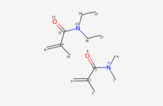 C=C(C)C(=O)N(C)C.C=C(C)C(=O)N(CC)CC